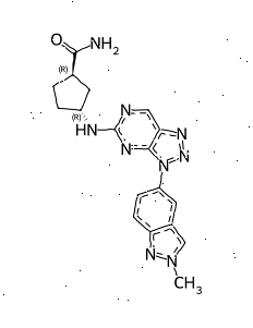 Cn1cc2cc(-n3nnc4cnc(N[C@@H]5CC[C@@H](C(N)=O)C5)nc43)ccc2n1